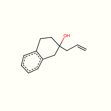 C=CCC1(O)CCc2ccccc2C1